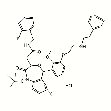 COc1c(OCCNCCc2ccccc2)cccc1C1OC(CC(=O)NCc2ccccc2F)C(=O)N(CC(C)(C)C)c2ccc(Cl)cc21.Cl